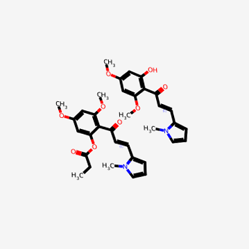 CCC(=O)Oc1cc(OC)cc(OC)c1C(=O)/C=C/c1cccn1C.COc1cc(O)c(C(=O)/C=C/c2cccn2C)c(OC)c1